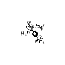 CC[n+]1c(C(F)(F)F)oc(N)c1-c1ccc(OC(F)(F)F)cc1.F[B-](F)(F)F